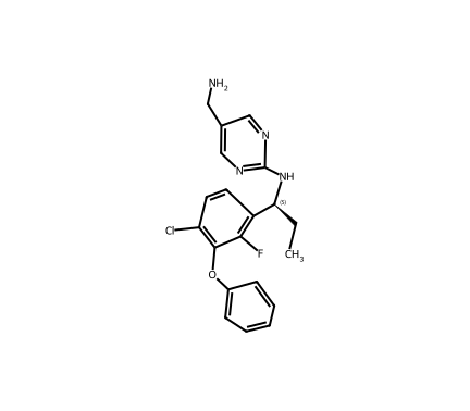 CC[C@H](Nc1ncc(CN)cn1)c1ccc(Cl)c(Oc2ccccc2)c1F